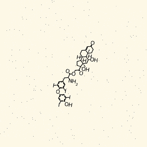 C[C@]12CCC(=O)C=C1CC[C@@H]1[C@@H]2[C@@H](O)C[C@@]2(C)[C@H]1CC[C@]2(O)C(=O)COC(=O)[C@@H](N)Cc1cc(I)c(Oc2cc(I)c(O)c(I)c2)c(I)c1